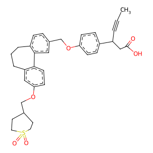 CC#CC(CC(=O)O)c1ccc(OCc2ccc3c(c2)-c2ccc(OCC4CCS(=O)(=O)CC4)cc2CCC3)cc1